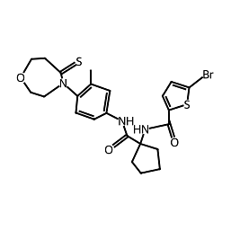 Cc1cc(NC(=O)C2(NC(=O)c3ccc(Br)s3)CCCC2)ccc1N1CCOCCC1=S